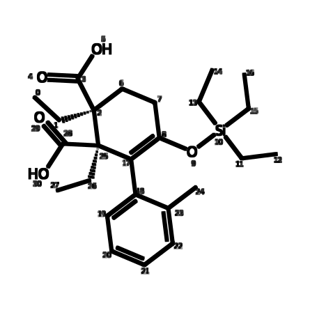 CC[C@]1(C(=O)O)CCC(O[Si](CC)(CC)CC)=C(c2ccccc2C)[C@@]1(CC)C(=O)O